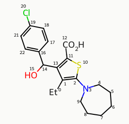 CCc1c(N2CCCCCC2)sc(C(=O)O)c1C(O)c1ccc(Cl)cc1